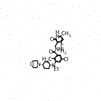 CCN(c1cc(Cl)cc(C(=O)NCc2c(C)cc(C)[nH]c2=O)c1C)[C@H]1CC[C@@H](N2CCOCC2)CC1